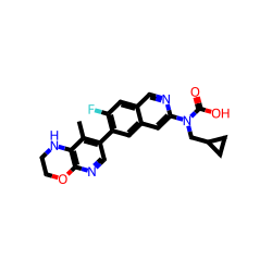 Cc1c(-c2cc3cc(N(CC4CC4)C(=O)O)ncc3cc2F)cnc2c1NCCO2